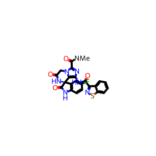 CNC(=O)c1nc(NC(=O)c2nsc3ccccc23)c2n1CC(=O)N[C@@]21C(=O)Nc2ccc(F)cc21